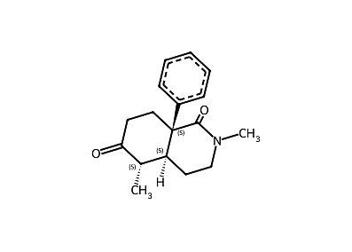 C[C@@H]1C(=O)CC[C@]2(c3ccccc3)C(=O)N(C)CC[C@@H]12